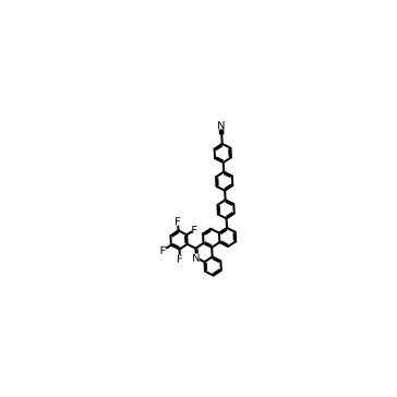 N#Cc1ccc(-c2ccc(-c3ccc(-c4cccc5c4ccc4c(-c6c(F)c(F)cc(F)c6F)nc6ccccc6c45)cc3)cc2)cc1